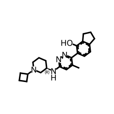 Cc1cc(N[C@@H]2CCCN(C3CCC3)C2)nnc1-c1ccc2c(c1O)CCC2